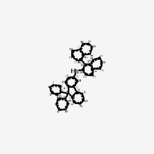 c1ccc(C2(c3ccccc3)c3ccccc3-c3cc(Nc4ccc5ccccc5c4-c4cccc5ccccc45)ccc32)cc1